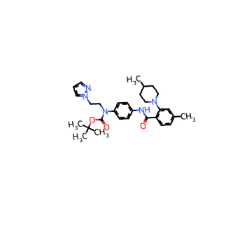 Cc1ccc(C(=O)Nc2ccc(N(CCn3cccn3)C(=O)OC(C)(C)C)cc2)c(N2CCC(C)CC2)c1